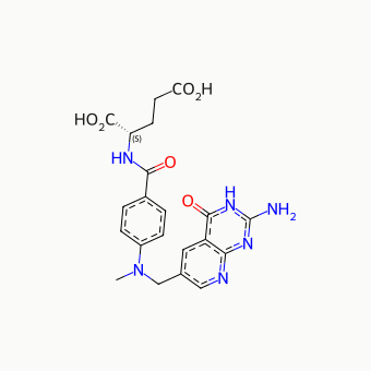 CN(Cc1cnc2nc(N)[nH]c(=O)c2c1)c1ccc(C(=O)N[C@@H](CCC(=O)O)C(=O)O)cc1